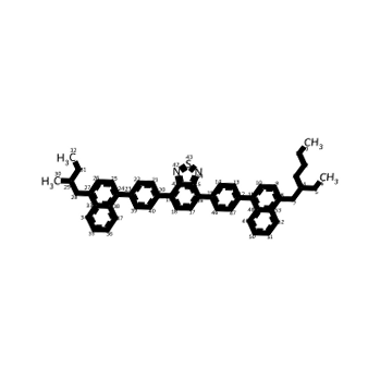 CCCCC(CC)Cc1ccc(-c2ccc(-c3ccc(-c4ccc(-c5ccc(CC(C)CC)c6ccccc56)cc4)c4nsnc34)cc2)c2ccccc12